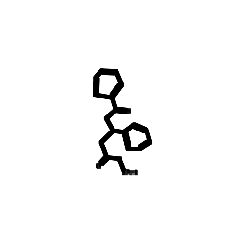 CCCCCOC(=O)CC(CC(=O)c1ccccc1)c1ccccc1